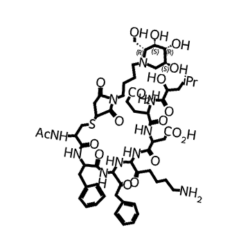 CC(=O)NC(CSC1CC(=O)N(CCCCN2C[C@H](O)[C@@H](O)[C@@H](O)[C@H]2CO)C1=O)C(=O)NC(Cc1ccccc1)C(=O)NC(NC(NC(=O)C(CC(=O)O)NC(=O)C(CCC(=O)O)NC(=O)C(O)CC(C)C)C(=O)CCCCN)C(=O)Cc1ccccc1